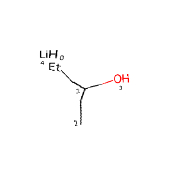 CCC(C)O.[LiH]